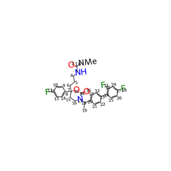 CNC(=O)NCCCC1(c2ccc(F)cc2)CCN(C(C)c2ccc(-c3ccc(F)cc3F)cc2)C(=O)O1